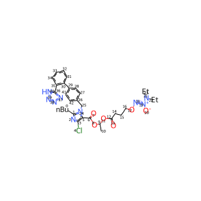 CCCCc1nc(Cl)c(C(=O)OC(C)OC(=O)CCCO/N=[N+](\[O-])N(CC)CC)n1Cc1ccc(-c2ccccc2-c2nnn[nH]2)cc1